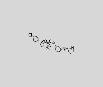 O=C(O)C1(NS(=O)(=O)c2ccc(-c3ccc(Cl)cc3)s2)CC1c1cccc(NCc2cccnc2)c1